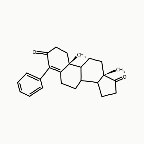 C[C@]12CCC(=O)C(c3ccccc3)=C1CCC1C2CC[C@]2(C)C(=O)CCC12